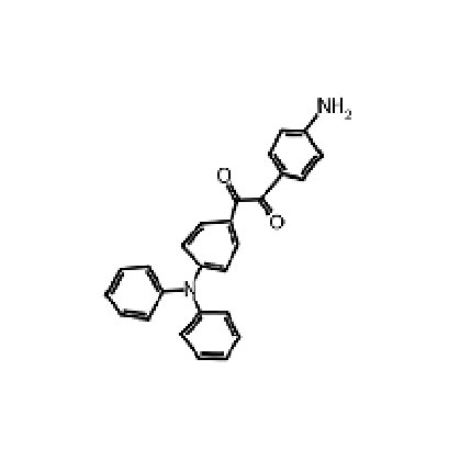 Nc1ccc(C(=O)C(=O)c2ccc(N(c3ccccc3)c3ccccc3)cc2)cc1